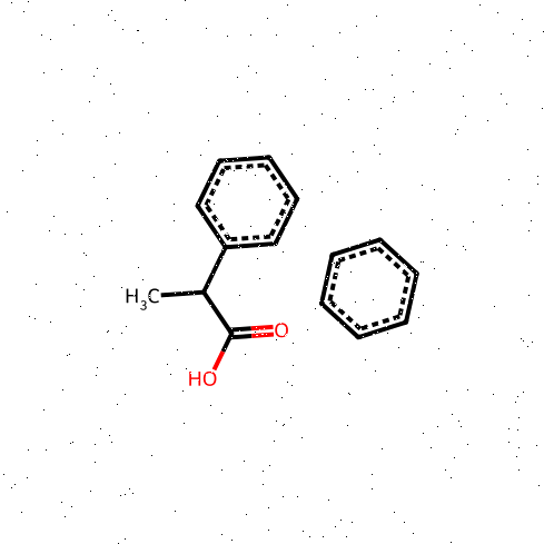 CC(C(=O)O)c1ccccc1.c1ccccc1